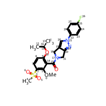 COc1c(S(C)(=O)=O)ccc(O[C@@H](C)C(F)(F)F)c1C(=O)N1Cc2cn(-c3ccc(F)cc3)nc2C1